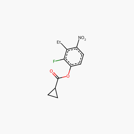 CCc1c([N+](=O)[O-])ccc(OC(=O)C2CC2)c1F